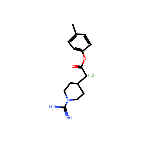 Cc1ccc(OC(=O)CC2CCN(C(=N)N)CC2)cc1.Cl